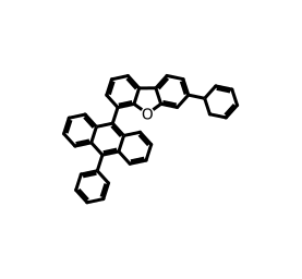 C1=CCC(c2ccc3c(c2)oc2c(-c4c5ccccc5c(-c5ccccc5)c5ccccc45)cccc23)C=C1